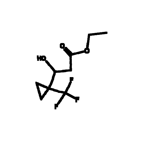 CCOC(=O)CC(O)C1(C(F)(F)F)CC1